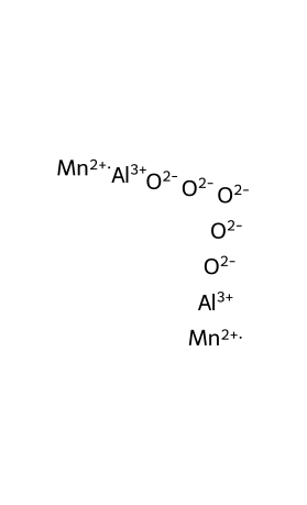 [Al+3].[Al+3].[Mn+2].[Mn+2].[O-2].[O-2].[O-2].[O-2].[O-2]